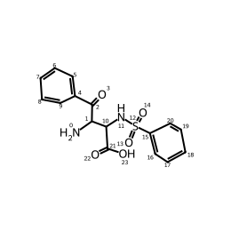 NC(C(=O)c1ccccc1)C(NS(=O)(=O)c1ccccc1)C(=O)O